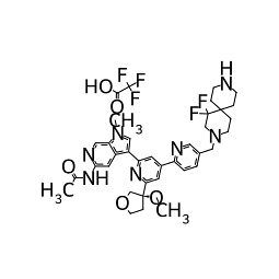 CO[C@@]1(c2cc(-c3ccc(CN4CCC5(CCNCC5)C(F)(F)C4)cn3)cc(-c3cn(C)c4cnc(NC(C)=O)cc34)n2)CCOC1.O=C(O)C(F)(F)F